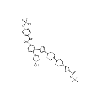 CC(C)(C)OC(=O)N1CC(N2CCC(N3CCC(n4cc(-c5cc(C(=O)Nc6ccc(OC(F)(F)Cl)cc6)cnc5N5CC[C@@H](O)C5)cn4)CC3)CC2)C1